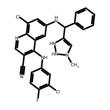 CN1C=C(C(Nc2cc(Cl)c3ncc(C#N)c(Nc4ccc(F)c(Cl)c4)c3c2)c2ccccc2)NN1